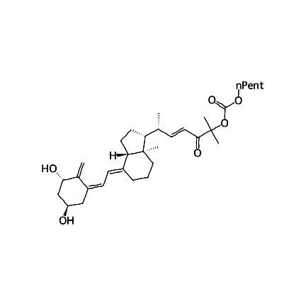 C=C1/C(=C\C=C2/CCC[C@]3(C)[C@@H]([C@H](C)/C=C/C(=O)C(C)(C)OC(=O)OCCCCC)CC[C@@H]23)C[C@@H](O)C[C@@H]1O